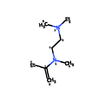 C=C(CC)N(C)CCN(C)CC